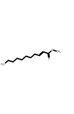 CCCCCCCCC=CC(=O)OC